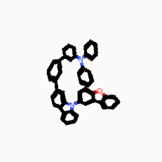 c1ccc(N(c2ccccc2)c2cccc(-c3cccc(-c4ccc5c6ccccc6n(-c6ccc7oc8ccccc8c7c6)c5c4)c3)c2)cc1